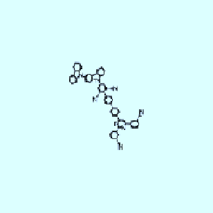 N#Cc1cccc(-c2cc(-c3ccc(-c4ccc(-c5c(C#N)cc(-n6c7ccccc7c7cc(-n8c9ccccc9c9ccccc98)ccc76)cc5C#N)cc4)cc3)nc(-c3cccc(C#N)c3)n2)c1